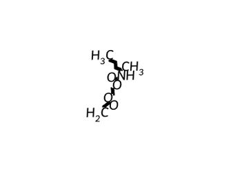 C=CC(=O)OCCOC(=O)NC(C)CCCC